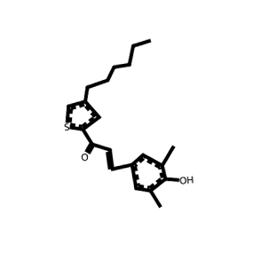 CCCCCCc1csc(C(=O)C=Cc2cc(C)c(O)c(C)c2)c1